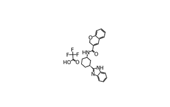 O=C(N[C@@H]1CCC[C@H](c2nc3ccccc3[nH]2)C1)C1=Cc2ccccc2OC1.O=C(O)C(F)(F)F